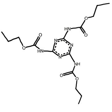 CCCOC(=O)Nc1nc(NC(=O)OCCC)nc(NC(=O)OCCC)n1